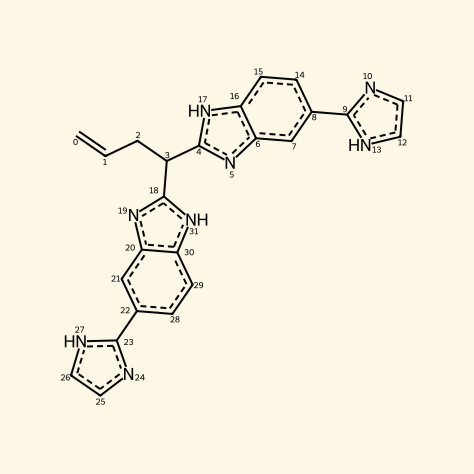 C=CCC(c1nc2cc(-c3ncc[nH]3)ccc2[nH]1)c1nc2cc(-c3ncc[nH]3)ccc2[nH]1